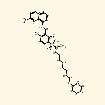 Cc1ccc2cccc(OCc3c(Cl)ccc(S(=O)(=O)N(C)CCCCCCCCOC4CCCCO4)c3Cl)c2n1